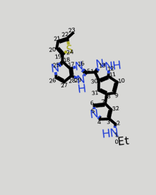 CCNCc1cncc(-c2ccc3[nH]nc(-c4nc5c(-c6ccc(C)s6)nccc5[nH]4)c3c2)c1